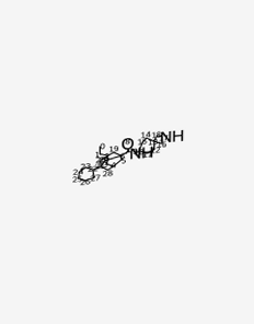 CCC12CC3CC(C(=O)NC4CCC5(CC4)CNC5)(C1)CC(C1CCCCC1)(C3)C2